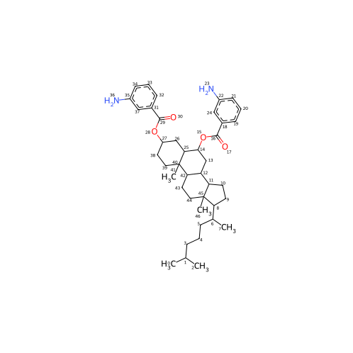 CC(C)CCCC(C)C1CCC2C3CC(OC(=O)c4cccc(N)c4)C4CC(OC(=O)c5cccc(N)c5)CCC4(C)C3CCC12C